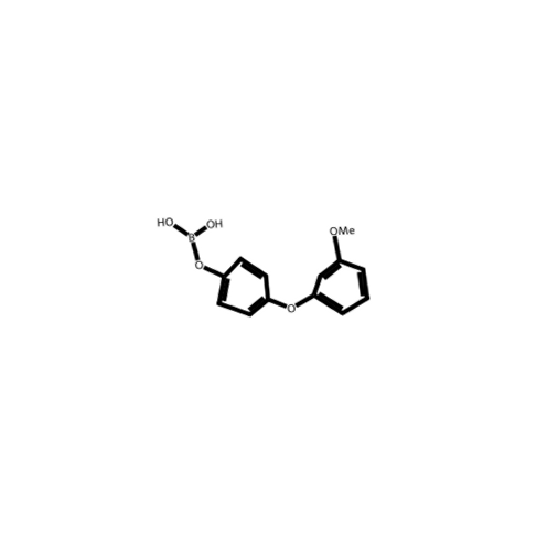 COc1cccc(Oc2ccc(OB(O)O)cc2)c1